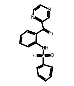 O=C(c1cnccn1)c1ccccc1NS(=O)(=O)c1ccccc1